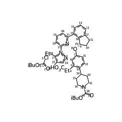 CC(C)COC(=O)Cl.CCc1cc(O[C@H]2CCc3cccc(-c4cccc(-n5ncc(C(=O)O)c5CC)n4)c32)ccc1C1CCN(C(=O)OCC(C)C)CC1